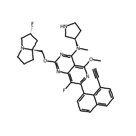 C#Cc1cccc2cccc(-c3nc(OC)c4c(N(C)[C@@H]5CCNC5)nc(OC[C@@]56CCCN5C[C@H](F)C6)nc4c3F)c12